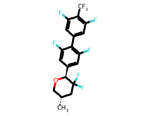 C[C@@H]1CO[C@@H](c2cc(F)c(-c3cc(F)c(C(F)(F)F)c(F)c3)c(F)c2)C(F)(F)C1